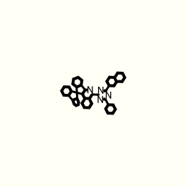 c1ccc(-c2nc(-c3ccc4ccccc4c3)nc(-c3nc4c(c5ccccc35)C3(c5ccccc5-c5ccccc53)c3ccccc3-4)n2)cc1